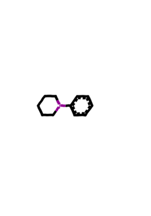 c1ccc(I2CCCCC2)cc1